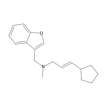 CN(C/C=C/C1CCCC1)Cc1coc2ccccc12